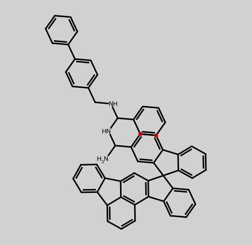 NC(NC(NCc1ccc(-c2ccccc2)cc1)c1ccccc1)c1ccc2c(c1)C1(c3ccccc3-2)c2ccccc2-c2c1cc1c3c(cccc23)-c2ccccc2-1